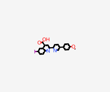 COc1ccc(-c2ccc(-c3cc(C(=O)O)c4cc(I)ccc4n3)nc2)cc1